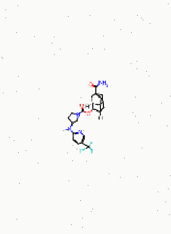 CN(c1ccc(C(F)(F)F)cn1)C1CCN(C(=O)OC2[C@@H]3CC4C[C@H]2CC(C(N)=O)(C4)C3)C1